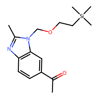 CC(=O)c1ccc2nc(C)n(COCC[Si](C)(C)C)c2c1